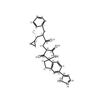 C[C@@H](C1CC1)C(Cc1ccccc1)C(=O)CC1C(=O)NC2(CCc3cc(-c4ccn[nH]4)ccc32)C1=O